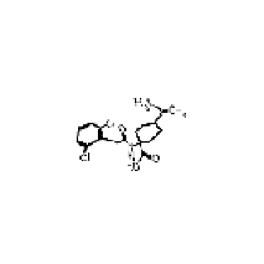 CC(C)C1CCC(NC(=O)Cc2c(Cl)cccc2Cl)(C(=O)O)CC1